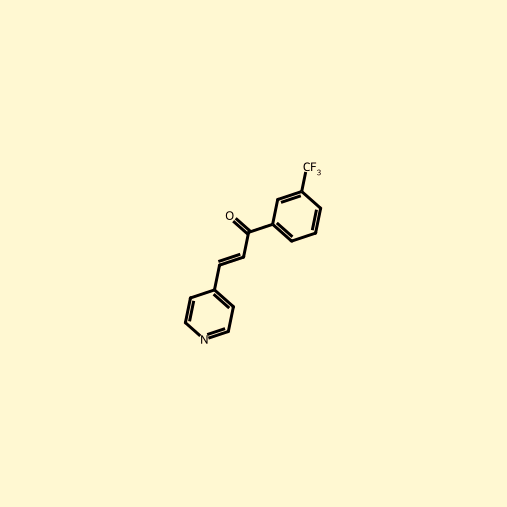 O=C(/C=C/c1ccncc1)c1cccc(C(F)(F)F)c1